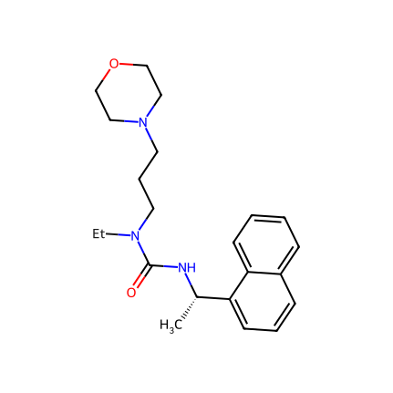 CCN(CCCN1CCOCC1)C(=O)N[C@@H](C)c1cccc2ccccc12